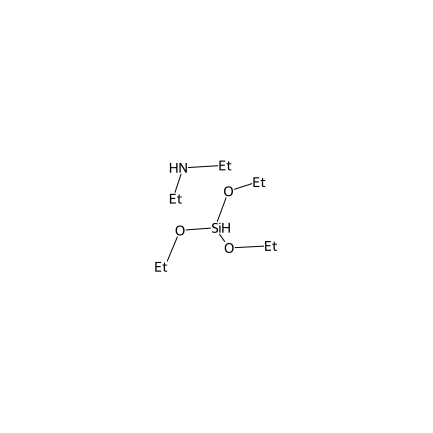 CCNCC.CCO[SiH](OCC)OCC